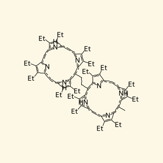 CCC1=C(CC)c2cc3[nH]c(c(CCc4c5nc(cc6[nH]c(c(C)c7nc(cc8[nH]c4c(CC)c8CC)C(CC)=C7CC)c(CC)c6CC)C(CC)=C5CC)c4nc(cc5[nH]c(cc1n2)c(CC)c5CC)C(CC)=C4CC)c(CC)c3CC